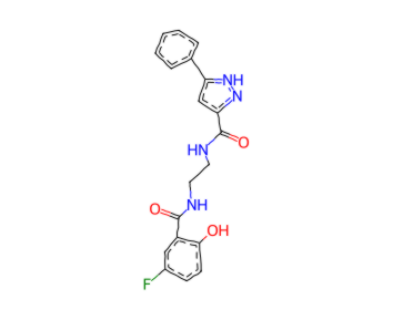 O=C(NCCNC(=O)c1cc(F)ccc1O)c1cc(-c2ccccc2)[nH]n1